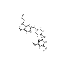 CCCOc1cc(CN2CCC(Nc3nc(OC)nc(OC)n3)CC2)ccc1OC